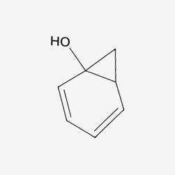 OC12C=CC=CC1C2